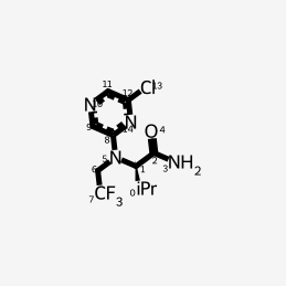 CC(C)[C@H](C(N)=O)N(CC(F)(F)F)c1cncc(Cl)n1